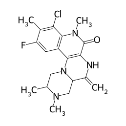 C=C1Nc2c(c3cc(F)c(C)c(Cl)c3n(C)c2=O)N2CC(C)N(C)CC12